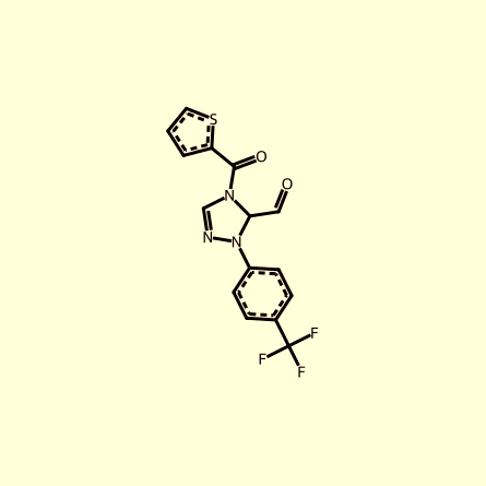 O=CC1N(C(=O)c2cccs2)C=NN1c1ccc(C(F)(F)F)cc1